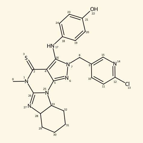 CN1C(=S)c2c(nn(Cc3ccc(Cl)nc3)c2Nc2ccc(O)cc2)N2C1=NC1CCCCC12